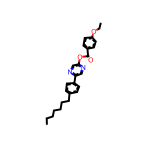 CCCCCCCc1ccc(-c2cnc(OC(=O)c3ccc(OCC)cc3)cn2)cc1